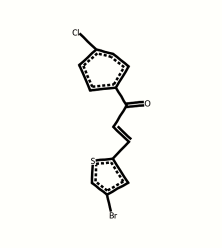 O=C(C=Cc1cc(Br)cs1)c1ccc(Cl)cc1